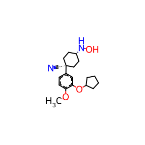 COc1ccc([C@]2(C#N)CC[C@@H](NO)CC2)cc1OC1CCCC1